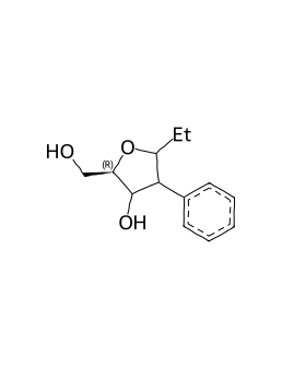 CCC1O[C@H](CO)C(O)C1c1ccccc1